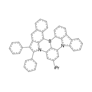 CC(C)c1cc2c3c(c1)-n1c4ccccc4c4cccc(c41)B3c1c3ccccc3cc3c(-c4ccccc4)c(-c4ccccc4)n-2c13